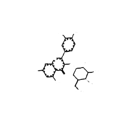 O=c1c(O[C@H]2CC(CO)[C@H](O)C(O)[C@H]2O)c(-c2ccc(O)c(O)c2)oc2cc(O)cc(O)c12